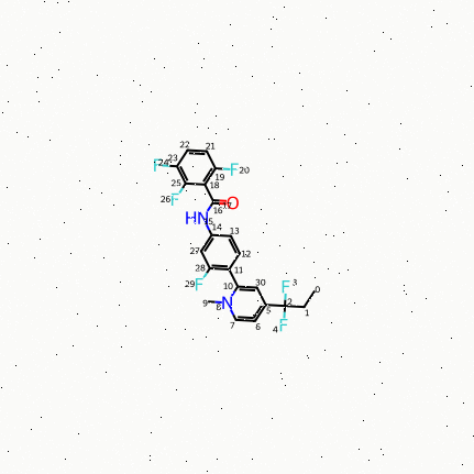 CCC(F)(F)C1=C=CN(C)C(c2ccc(NC(=O)c3c(F)ccc(F)c3F)cc2F)=C1